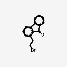 O=C1c2ccccc2-c2cccc(CCBr)c21